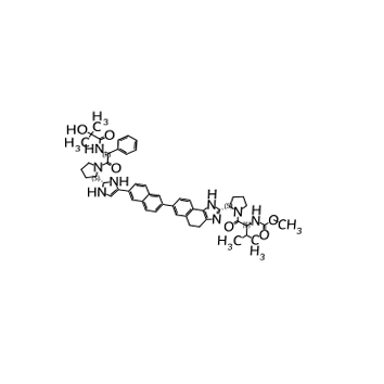 COC(=O)N[C@H](C(=O)N1CCC[C@H]1c1nc2c([nH]1)-c1ccc(-c3ccc4cc(C5=CNC([C@@H]6CCCN6C(=O)[C@H](NC(=O)C(C)(C)O)c6ccccc6)N5)ccc4c3)cc1CC2)C(C)C